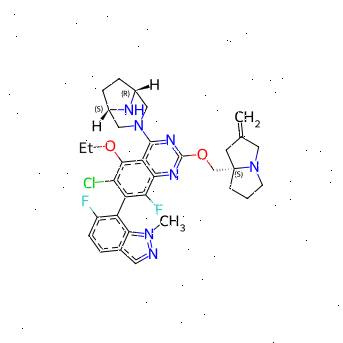 C=C1CN2CCC[C@@]2(COc2nc(N3C[C@H]4CC[C@@H](C3)N4)c3c(OCC)c(Cl)c(-c4c(F)ccc5cnn(C)c45)c(F)c3n2)C1